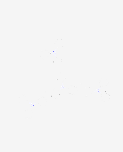 CC1(C)c2cc(N(c3ccc(-c4ccc5c(c4)c4ccccc4n5-c4ccccc4)cc3)c3ccc4c(c3)C(C)(C)c3cc(-n5c6ccccc6c6ccccc65)ccc3-4)ccc2-c2ccc(-n3c4ccccc4c4ccccc43)cc21